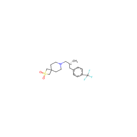 C[C@H](Cc1ccc(C(F)(F)F)cc1)CN1CCC2(CC1)CS(=O)(=O)C2